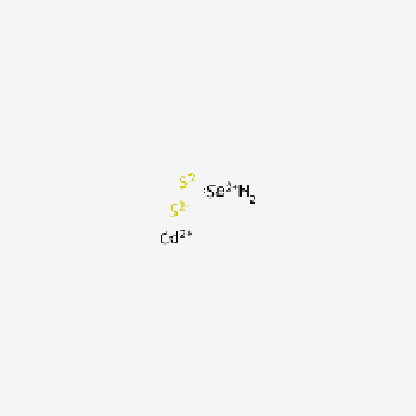 [Cd+2].[S-2].[S-2].[SeH2+2]